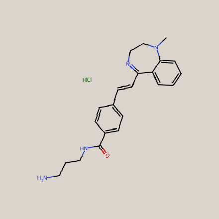 CN1CCN=C(C=Cc2ccc(C(=O)NCCCN)cc2)c2ccccc21.Cl